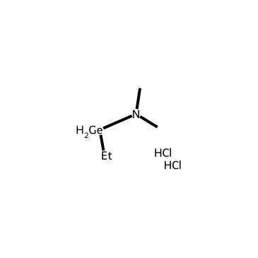 C[CH2][GeH2][N](C)C.Cl.Cl